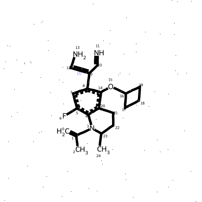 C=C(C)N1c2c(F)cc(/C(C=N)=C/N)c(OC3CCC3)c2CCC1C